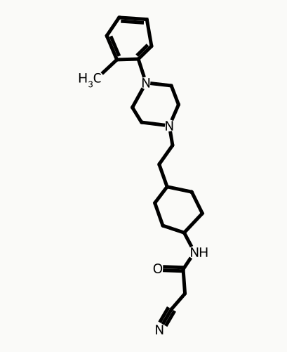 Cc1ccccc1N1CCN(CCC2CCC(NC(=O)CC#N)CC2)CC1